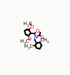 COc1cccc(OC)c1C1OCC(=O)N1Cc1c(C)cccc1C